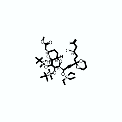 C=C(I)C[C@H](Cl)CCC1(C#CC(O[Si](CC)(CC)CC)[C@@H]2O[C@H]3CC[C@H](CC(=O)OC)O[C@@H]3C(O[Si](C)(C)C(C)(C)C)C2O[Si](C)(C)C(C)(C)C)OCCCO1